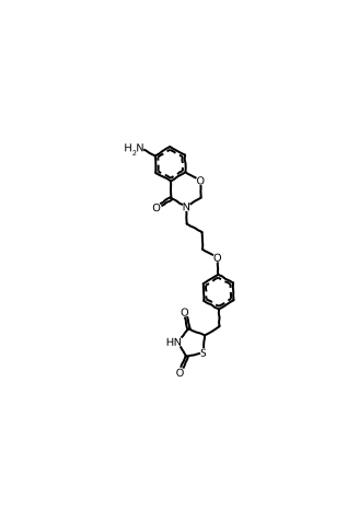 Nc1ccc2c(c1)C(=O)N(CCCOc1ccc(CC3SC(=O)NC3=O)cc1)CO2